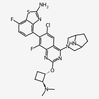 CN(C)[C@H]1CC[C@@H]1Oc1nc(N2CC3CCC(C2)N3)c2cc(Cl)c(-c3ccc(F)c4sc(N)nc34)c(F)c2n1